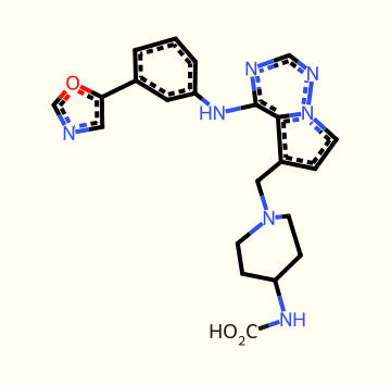 O=C(O)NC1CCN(Cc2ccn3ncnc(Nc4cccc(-c5cnco5)c4)c23)CC1